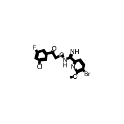 COc1nc(C(=N)NOCC(=O)c2cc(F)cc(Cl)c2)ccc1Br